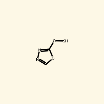 SOc1nnco1